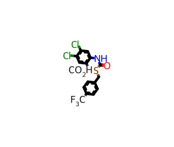 O=C(Nc1cc(Cl)c(Cl)cc1C(=O)O)SCc1ccc(C(F)(F)F)cc1